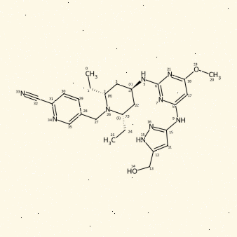 CC[C@@H]1C[C@@H](Nc2nc(Nc3cc(CO)[nH]n3)cc(OC)n2)C[C@H](CC)N1Cc1ccc(C#N)nc1